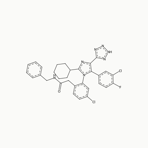 O=C(Cc1ccc(Cl)cc1-n1c(C2CCCCC2)nc(-c2nn[nH]n2)c1-c1ccc(F)c(Cl)c1)NCc1ccccc1